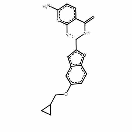 C=C(NCc1cc2cc(OCC3CC3)ccc2o1)c1ccc(N)nc1N